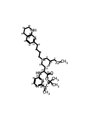 COCC(F)CN(CCCCc1ccc2c(n1)NCCC2)CCC(Nc1ccnc(OC)n1)C(=O)OC(C)(C)C